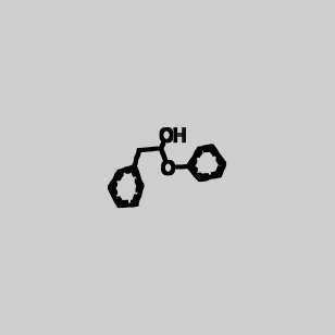 OC(Cc1ccccc1)Oc1ccccc1